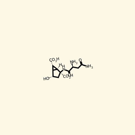 NC(=O)C[C@H](N)C(=O)N[C@@]1(C(=O)O)C[C@H](O)C2[C@H](C(=O)O)[C@H]21